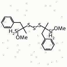 CO[SiH2]C(C)(Cc1ccccc1)SSSC(C)(Cc1ccccc1)[SiH2]OC